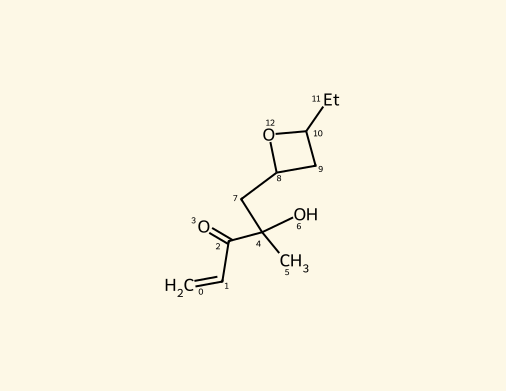 C=CC(=O)C(C)(O)CC1CC(CC)O1